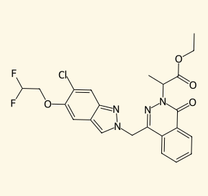 CCOC(=O)C(C)n1nc(Cn2cc3cc(OCC(F)F)c(Cl)cc3n2)c2ccccc2c1=O